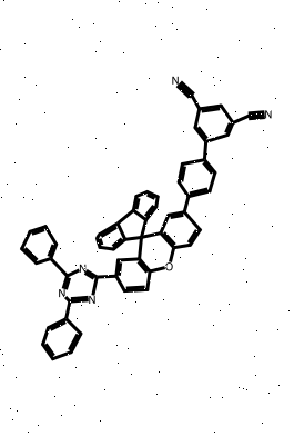 N#Cc1cc(C#N)cc(-c2ccc(-c3ccc4c(c3)C3(c5cc(-c6nc(-c7ccccc7)nc(-c7ccccc7)n6)ccc5O4)c4ccccc4-c4ccccc43)cc2)c1